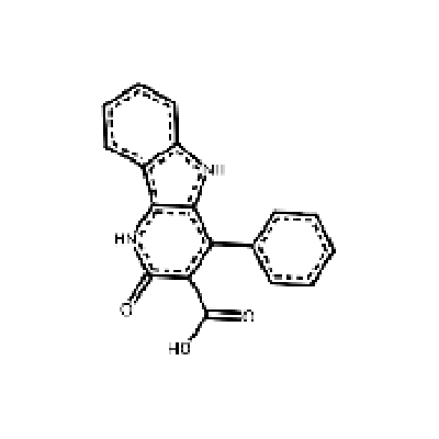 O=C(O)c1c(-c2ccccc2)c2[nH]c3ccccc3c2[nH]c1=O